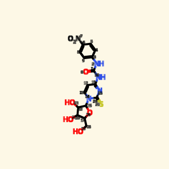 O=C(Nc1ccc([N+](=O)[O-])cc1)Nc1ccn(C2OC(CO)C(O)C2O)c(=S)n1